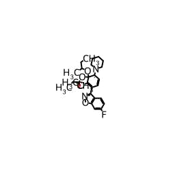 CCC(C)OC1(OC(C)CC)[C](N2CCCCC2)C=CC(c2noc3cc(F)ccc23)=C1OC